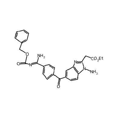 CCOC(=O)Cc1nc2cc(C(=O)c3ccc(C(N)=NC(=O)OCc4ccccc4)cc3)ccc2n1N